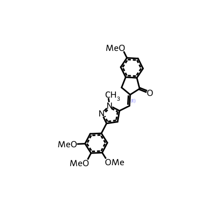 COc1ccc2c(c1)C/C(=C\c1cc(-c3cc(OC)c(OC)c(OC)c3)nn1C)C2=O